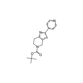 CC(C)(C)OC(=O)N1CCc2nc(-c3ccncc3)sc2C1